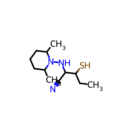 CCC(S)C(C#N)NN1C(C)CCCC1C